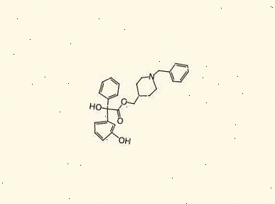 O=C(OCC1CCN(Cc2ccccc2)CC1)C(O)(c1ccccc1)c1cccc(O)c1